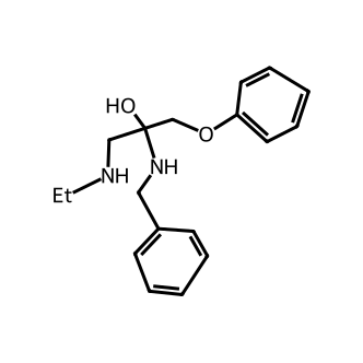 CCNCC(O)(COc1ccccc1)NCc1ccccc1